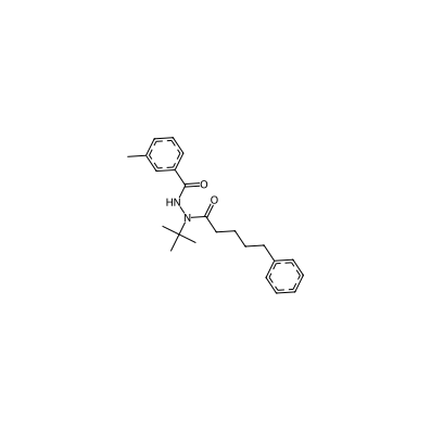 Cc1cccc(C(=O)NN(C(=O)CCCCc2ccccc2)C(C)(C)C)c1